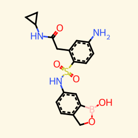 Nc1ccc(S(=O)(=O)Nc2ccc3c(c2)B(O)OC3)c(CC(=O)NC2CC2)c1